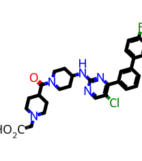 O=C(O)CN1CCC(C(=O)N2CCC(Nc3ncc(Cl)c(-c4cccc(-c5ccc(F)cc5)c4)n3)CC2)CC1